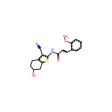 COc1ccccc1/C=C/C(=O)Nc1sc2c(c1C#N)CCC(O)C2